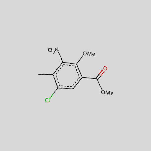 COC(=O)c1cc(Cl)c(C)c([N+](=O)[O-])c1OC